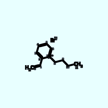 C=Cc1cccc[n+]1CCCC.[Br-]